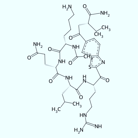 CC(=O)N[C@@H](CCCCN)C(=O)N[C@@H](CCC(N)=O)C(=O)N[C@@H](CC(C)C)C(=O)N[C@@H](CCCNC(=N)N)C(=O)c1nc2ccc(C(=O)C[C@H](C(N)=O)C(C)C)cc2s1